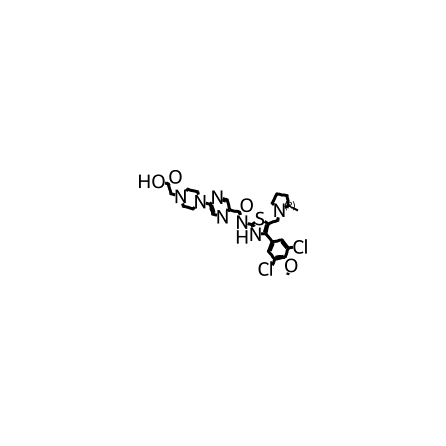 COc1c(Cl)cc(-c2nc(NC(=O)c3cnc(N4CCN(CC(=O)O)CC4)cn3)sc2CN2CCC[C@H]2C)cc1Cl